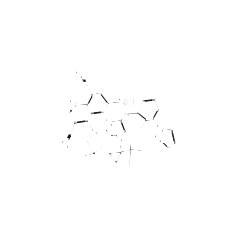 Cc1c([C@H](Nc2cc(C#N)c3ncc(C#N)c(NCC(C)(C)C)c3c2)c2cn(C3(C(F)(F)F)CC3)nn2)cccc1-n1cccn1